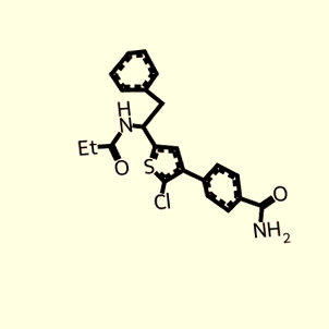 CCC(=O)NC(Cc1ccccc1)c1cc(-c2ccc(C(N)=O)cc2)c(Cl)s1